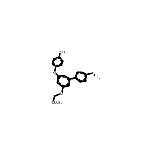 CCOC(=O)COc1cc(Oc2ccc(C(C)(C)C)cc2)cc(-c2ccc(OC(F)(F)F)cc2)c1